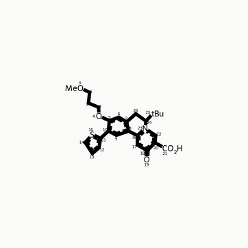 COCCCOc1cc2c(cc1-c1cccs1)-c1cc(=O)c(C(=O)O)cn1C(C(C)(C)C)C2